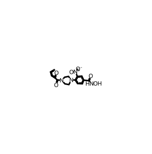 O=C(NO)c1ccc(N2CCN(C(=O)c3ccco3)CC2)c([N+](=O)[O-])c1